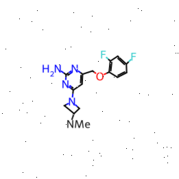 CNC1CN(c2cc(COc3ccc(F)cc3F)nc(N)n2)C1